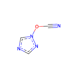 N#COn1cncn1